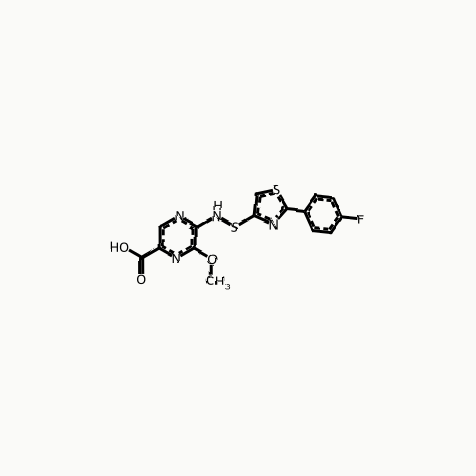 COc1nc(C(=O)O)cnc1NSc1csc(-c2ccc(F)cc2)n1